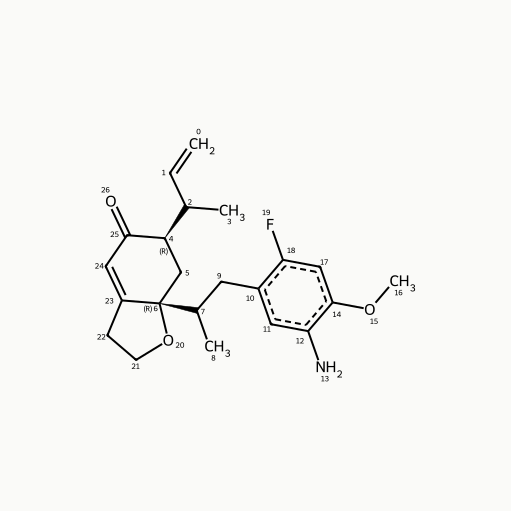 C=CC(C)[C@H]1C[C@]2(C(C)Cc3cc(N)c(OC)cc3F)OCCC2=CC1=O